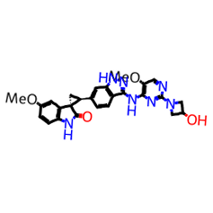 COc1ccc2c(c1)[C@]1(C[C@H]1c1ccc3c(Nc4nc(N5CC(O)C5)ncc4OC)n[nH]c3c1)C(=O)N2